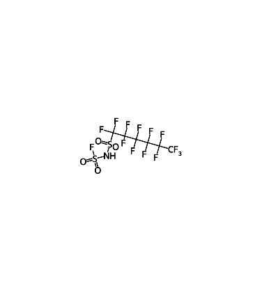 O=S(=O)(F)NS(=O)(=O)C(F)(F)C(F)(F)C(F)(F)C(F)(F)C(F)(F)C(F)(F)F